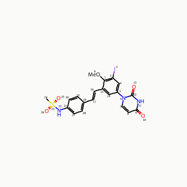 COc1c(I)cc(-n2ccc(=O)[nH]c2=O)cc1C=Cc1ccc(NS(C)(=O)=O)cc1